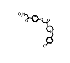 O=C(C[N+](=O)[O-])c1ccc(OCC(=O)N2CCN(Cc3ccc(Cl)cc3)CC2)cc1